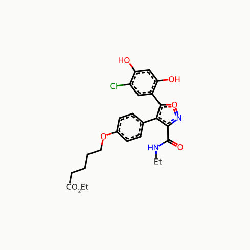 CCNC(=O)c1noc(-c2cc(Cl)c(O)cc2O)c1-c1ccc(OCCCCC(=O)OCC)cc1